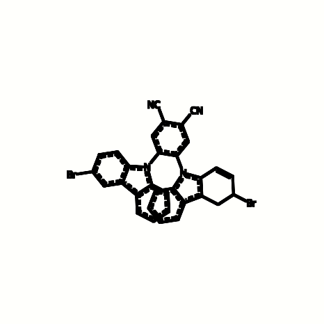 N#Cc1cc(-n2c3c(c4ccccc42)CC(Br)C=C3)c(-n2c3ccccc3c3cc(Br)ccc32)cc1C#N